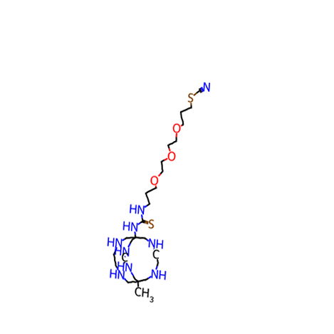 CC12CNCCNCC(NC(=S)NCCCOCCOCCOCCCSC#N)(CNCCNC1)CNCCNC2